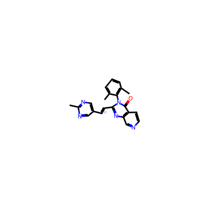 Cc1ncc(/C=C/c2nc3cnccc3c(=O)n2-c2c(C)cccc2C)cn1